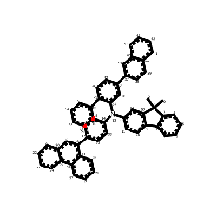 CC1(C)c2ccccc2-c2ccc(N(c3ccc(-c4cc5ccccc5c5ccccc45)cc3)c3cc(-c4ccc5ccccc5c4)ccc3-c3ccccc3)cc21